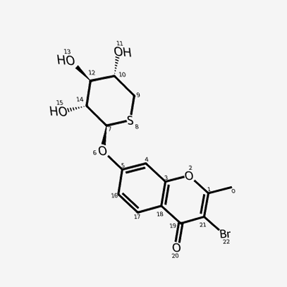 Cc1oc2cc(O[C@@H]3SC[C@@H](O)[C@H](O)[C@H]3O)ccc2c(=O)c1Br